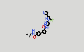 CNC(=O)c1ccc(-c2cccc(C(=O)Nc3ccc(-n4nc(-c5cccnc5)cc4C(F)(F)F)nn3)c2)cc1